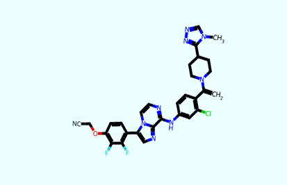 C=C(c1ccc(Nc2nccn3c(-c4ccc(OCC#N)c(F)c4F)cnc23)cc1Cl)N1CCC(c2nncn2C)CC1